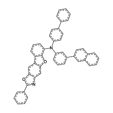 c1ccc(-c2ccc(N(c3cccc(-c4ccc5ccccc5c4)c3)c3cccc4c3oc3cc5nc(-c6ccccc6)oc5cc34)cc2)cc1